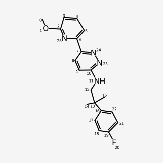 COc1cccc(-c2ccc(NCC(C)(C)c3ccc(F)cc3)nn2)n1